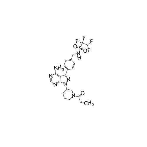 C=CC(=O)N1CCCC(n2nc(-c3ccc(CNS(=O)(=O)C(F)(F)C(F)F)cc3)c3c(N)ncnc32)C1